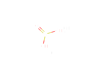 O=S(O)O.[Ir].[KH]